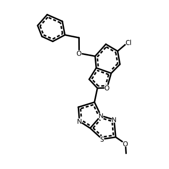 COc1nn2c(-c3cc4c(OCc5ccccc5)cc(Cl)cc4o3)cnc2s1